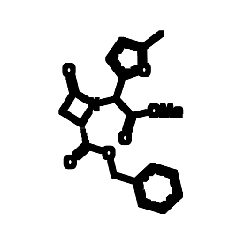 COC(=O)C(c1ccc(C)o1)N1C(=O)C[C@H]1C(=O)OCc1ccccc1